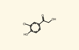 O=C(CO)c1ccc(O)c(Cl)c1